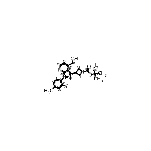 Cc1ccc(-n2nc(C3CN(C(=O)OC(C)(C)C)C3)c3c(CO)ccnc32)c(Cl)c1